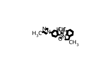 Cc1cn(-c2ccc(S(=O)(=O)N3C[C@@H](C)c4cccc(C)c43)c(C)c2)cn1